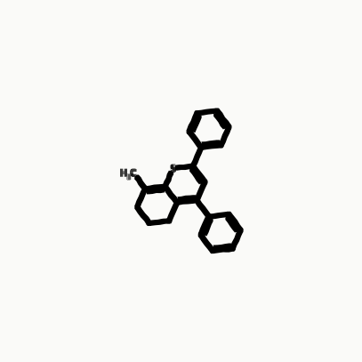 CC1=C2SC(c3ccccc3)=CC(c3ccccc3)=C2CCC1